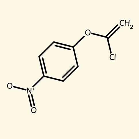 C=C(Cl)Oc1ccc([N+](=O)[O-])cc1